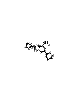 Nc1nc(-c2cncnc2)cn2nc(-c3ccco3)nc12